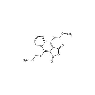 COCOc1c2c(c(OCOC)c3ncccc13)C(=O)OC2=O